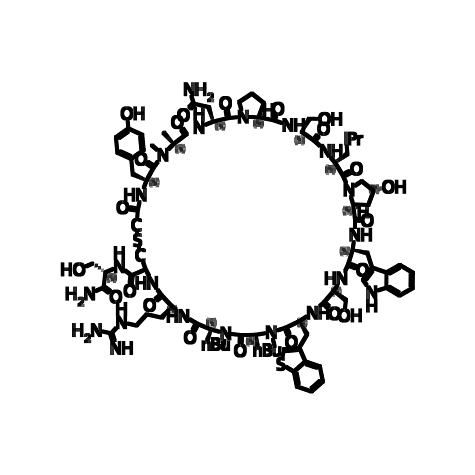 CCCC[C@H]1C(=O)N(C)[C@@H](CCCC)C(=O)N[C@@H](CCCNC(=N)N)C(=O)NC(C(=O)N[C@@H](CO)C(N)=O)CSCC(=O)N[C@@H](Cc2ccc(O)cc2)C(=O)N(C)[C@@H](C)C(=O)N[C@@H](CC(N)=O)C(=O)N2CCC[C@H]2C(=O)N[C@@H](CO)C(=O)N[C@@H](CC(C)C)C(=O)N2C[C@H](O)C[C@H]2C(=O)N[C@@H](Cc2c[nH]c3ccccc23)C(=O)N[C@@H](CO)C(=O)N[C@@H](Cc2csc3ccccc23)C(=O)N1C